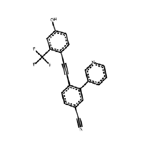 N#Cc1ccc(C#Cc2ccc(O)cc2C(F)(F)F)c(-c2cccnc2)c1